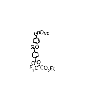 CCCCCCCCCCOc1ccc(OC(=O)c2ccc(C(=O)OC(C(=O)OCC)C(F)(F)F)cc2)cc1